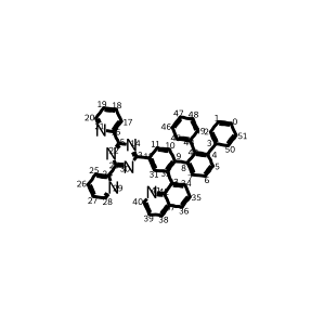 c1ccc(-c2cccc(-c3ccc(-c4nc(-c5ccccn5)nc(-c5ccccn5)n4)cc3-c3cccc4cccnc34)c2-c2ccccc2)cc1